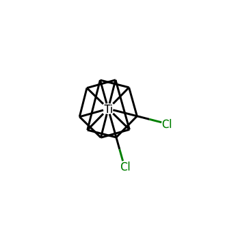 Cl[C]12[CH]3[CH]4[CH]5[C]1(Cl)[Ti]43521678[CH]2[CH]1[CH]6[CH]7[CH]28